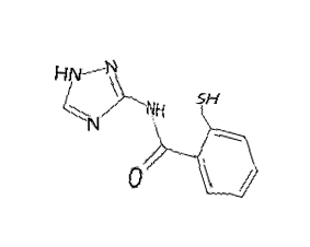 O=C(Nc1nc[nH]n1)c1ccccc1S